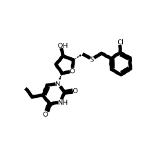 CCc1cn([C@@H]2CC(O)[C@H](CSCc3ccccc3Cl)O2)c(=O)[nH]c1=O